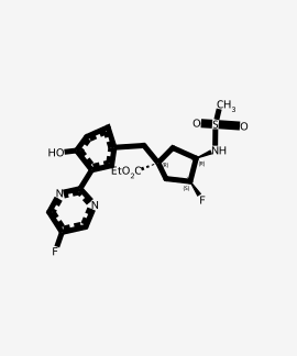 CCOC(=O)[C@@]1(Cc2ccc(O)c(-c3ncc(F)cn3)c2)C[C@H](F)[C@H](NS(C)(=O)=O)C1